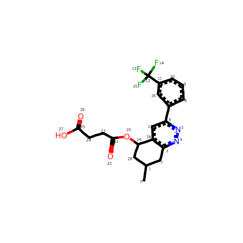 CC1Cc2nnc(-c3cccc(C(F)(F)F)c3)cc2C(OC(=O)CCC(=O)O)C1